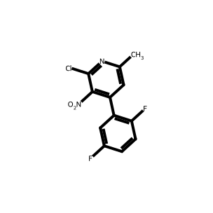 Cc1cc(-c2cc(F)ccc2F)c([N+](=O)[O-])c(Cl)n1